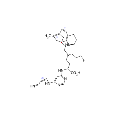 C/C1=C(CCCCN(CCCF)CCC(Nc2cc(N/C=C\C=N)ncn2)C(=O)O)\C=C/C2=C(CC1)NCCC2